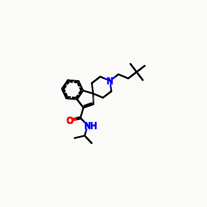 CC(C)NC(=O)C1=CC2(CCN(CCC(C)(C)C)CC2)c2ccccc21